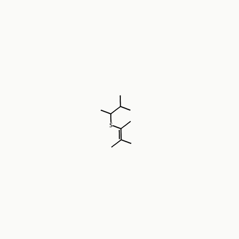 CC(C)=C(C)SC(C)C(C)C